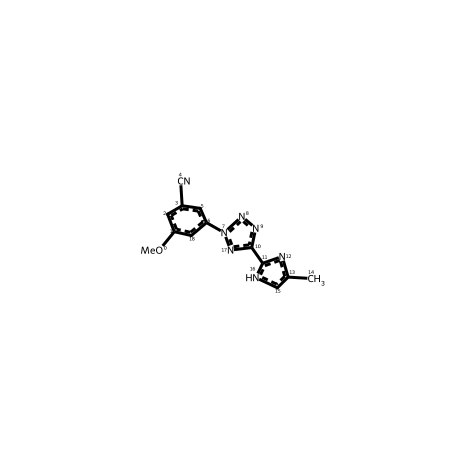 COc1cc(C#N)cc(-n2nnc(-c3nc(C)c[nH]3)n2)c1